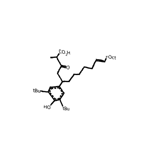 CCCCCCCCC=CCCCCCC(CC(=O)C(C)C(=O)O)c1cc(C(C)(C)C)c(O)c(C(C)(C)C)c1